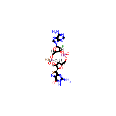 CO[C@H]1[C@H]2O[P@](=O)(S)OC[C@H]3O[C@@H](n4cnc5c(N)ncnc54)[C@H](F)[C@@H]3O[PH](=O)OC[C@H]1O[C@H]2c1snc2c(=O)[nH]c(N)nc12